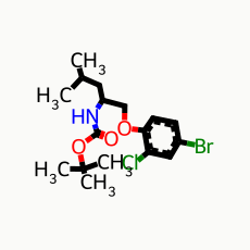 CC(C)CC(COc1ccc(Br)cc1Cl)NC(=O)OC(C)(C)C